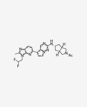 CC(=O)N1C[C@H]2C[C@@H](Nc3ncc4c(-c5ccc6nc(C)n(CC(F)F)c6n5)ccn4n3)C[C@H]2C1